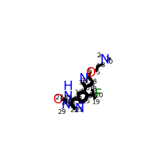 CN(C)CCCOc1ccc(-c2cc3c(cc2C(C)(C)F)ncc2c3[nH]c(=O)n2C)cn1